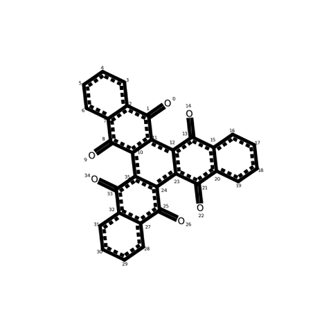 O=c1c2ccccc2c(=O)c2c1c1c(=O)c3ccccc3c(=O)c1c1c(=O)c3ccccc3c(=O)c21